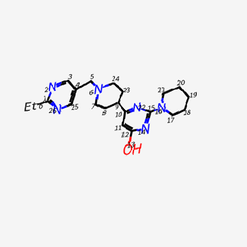 CCc1ncc(CN2CCC(c3cc(O)nc(N4CCCCC4)n3)CC2)cn1